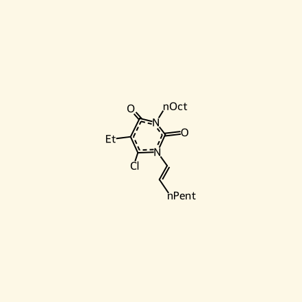 CCCCCC=Cn1c(Cl)c(CC)c(=O)n(CCCCCCCC)c1=O